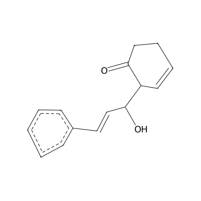 O=C1CCC=CC1C(O)C=Cc1ccccc1